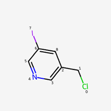 ClCc1cncc(I)c1